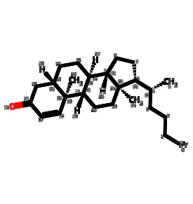 CC(C)CCC[C@@H](C)[C@H]1CC[C@H]2[C@@H]3CC[C@H]4CC(=O)C=C[C@]4(C)[C@H]3CC[C@]12C